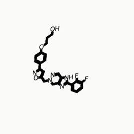 OCCCOc1ccc(-c2cc(CN3Cc4nc(-c5cccc(F)c5F)[nH]c4C=N3)on2)cc1